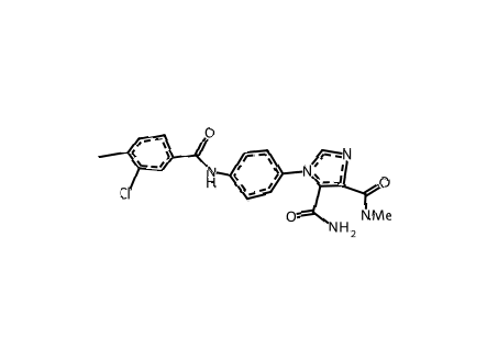 CNC(=O)c1ncn(-c2ccc(NC(=O)c3ccc(C)c(Cl)c3)cc2)c1C(N)=O